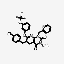 Cn1c(=O)c2c(n(Cc3ccccn3)c1=O)N=C(Oc1cccc(OC(F)(F)F)c1)C(Cc1ccc(Cl)cc1)C2